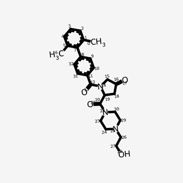 Cc1cccc(C)c1-c1ccc(C(=O)N2CC(=O)CC2C(=O)N2CCN(CCO)CC2)cc1